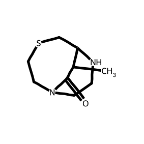 CC1C(=O)N2CCNC1CSCC2